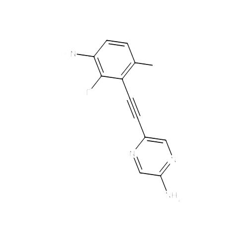 Nc1cnc(C#Cc2c(F)ccc(N)c2F)cn1